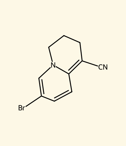 N#CC1=C2C=CC(Br)=CN2CCC1